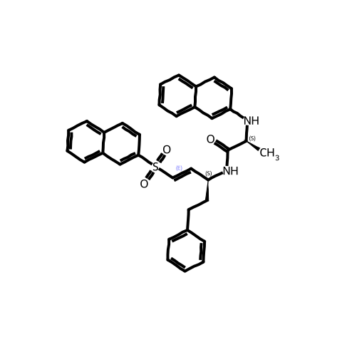 C[C@H](Nc1ccc2ccccc2c1)C(=O)N[C@H](/C=C/S(=O)(=O)c1ccc2ccccc2c1)CCc1ccccc1